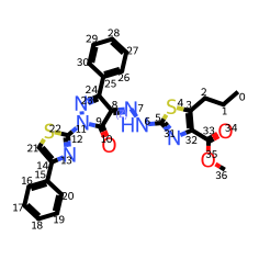 CCCc1sc(N/N=C2\C(=O)N(c3nc(-c4ccccc4)cs3)N=C2c2ccccc2)nc1C(=O)OC